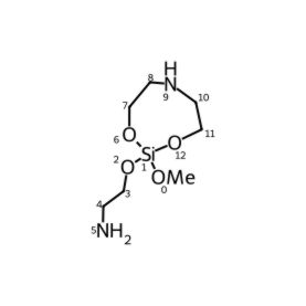 CO[Si]1(OCCN)OCCNCCO1